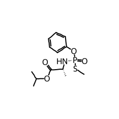 CS[P@@](=O)(N[C@H](C)C(=O)OC(C)C)Oc1ccccc1